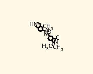 Cc1c(-c2noc(-c3ccc4c(c3)c(Cl)nn4C(C)C)n2)ccc2c1CCNC2